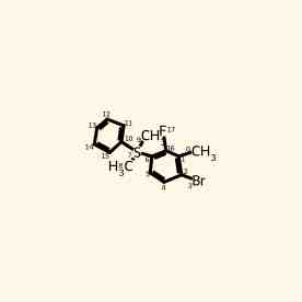 Cc1c(Br)ccc(S(C)(C)c2ccccc2)c1F